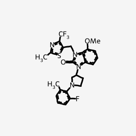 COc1cccc2c1n(Cc1sc(C)nc1C(F)(F)F)c(=O)n2C1CCN(c2c(C)cccc2F)C1